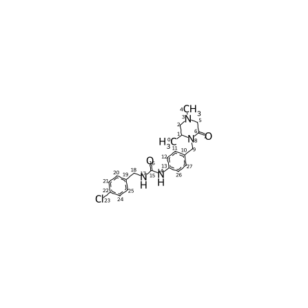 CC1CN(C)CC(=O)N1Cc1ccc(NC(=O)NCc2ccc(Cl)cc2)cc1